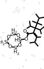 CC(=C(C(=O)O[SiH]1O[SiH2]O[SiH2]O[SiH2]O1)C(C(C)C)(C(C)C)C(C)(C)C(C)C)C(C)C